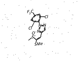 CSC(=Cc1cnn(-c2c(Cl)cc(C(F)(F)F)cc2Cl)n1)[S+](C)[O-]